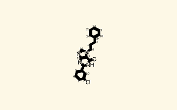 O=c1[nH]c(-c2cccc(Cl)c2)nc2ncn(CCCc3ccccc3)c12